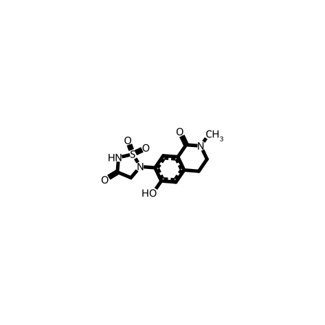 CN1CCc2cc(O)c(N3CC(=O)NS3(=O)=O)cc2C1=O